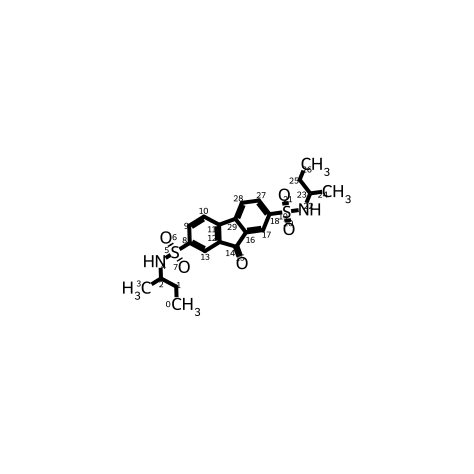 CCC(C)NS(=O)(=O)c1ccc2c(c1)C(=O)c1cc(S(=O)(=O)NC(C)CC)ccc1-2